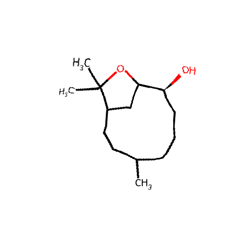 CC1CCC[C@H](O)C2CC(CC1)C(C)(C)O2